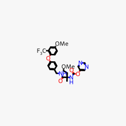 COCCC(C)(NC(=O)Oc1cncnc1)C(=O)NCc1ccc(Oc2ccc(OC)cc2C(F)(F)F)cc1